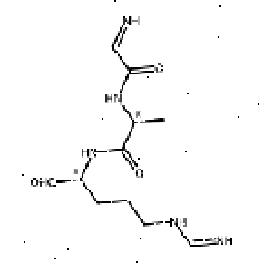 C[C@H](NC(=O)C=N)C(=O)N[C@H](C=O)CCCNC=N